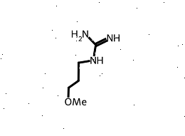 COCCCNC(=N)N